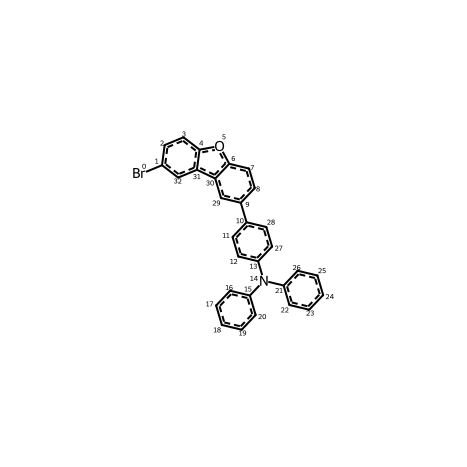 Brc1ccc2oc3ccc(-c4ccc(N(c5ccccc5)c5ccccc5)cc4)cc3c2c1